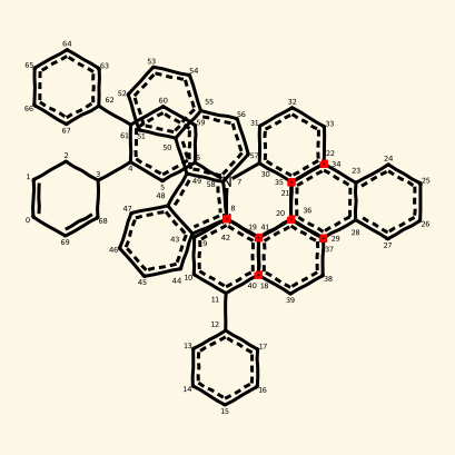 C1=CCC(c2cc(N(c3ccc(-c4ccccc4)cc3-c3ccc4ccccc4c3)c3ccccc3-c3ccccc3-n3c4ccccc4c4c5ccccc5ccc43)ccc2-c2ccccc2)C=C1